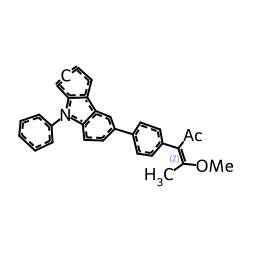 CO/C(C)=C(\C(C)=O)c1ccc(-c2ccc3c(c2)c2ccccc2n3-c2ccccc2)cc1